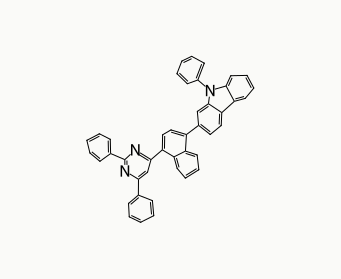 c1ccc(-c2cc(-c3ccc(-c4ccc5c6ccccc6n(-c6ccccc6)c5c4)c4ccccc34)nc(-c3ccccc3)n2)cc1